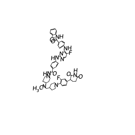 CN(CC1CCN(c2ccc(C3CCC(=O)NC3=O)cc2F)CC1)C1CCN(NC(=O)c2ccc(Nc3ncc(F)c(Nc4ccc(C(=O)Nc5ccccc5Cl)cc4)n3)cc2)CC1